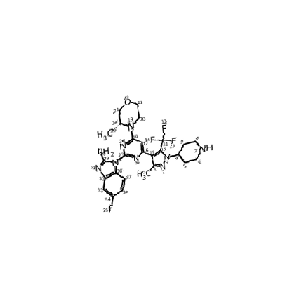 Cc1nn(C2CCNCC2)c(C(F)(F)F)c1-c1cc(N2CCOC[C@H]2C)nc(-n2c(N)nc3cc(F)ccc32)n1